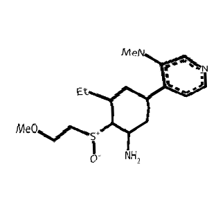 CCC1CC(c2ccncc2NC)CC(N)C1[S+]([O-])CCOC